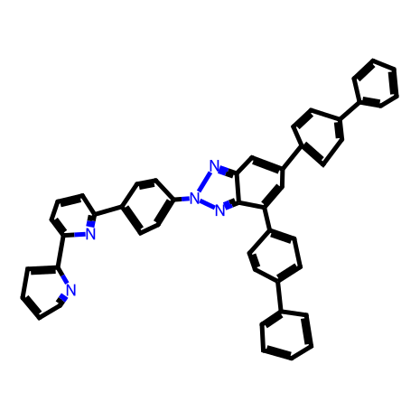 c1ccc(-c2ccc(-c3cc(-c4ccc(-c5ccccc5)cc4)c4nn(-c5ccc(-c6cccc(-c7ccccn7)n6)cc5)nc4c3)cc2)cc1